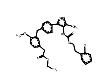 CCOC(=O)Cc1ccc(OC)c(Cc2ccc(-c3onc(C)c3NC(=O)OCCc3ccccc3Cl)cc2)c1